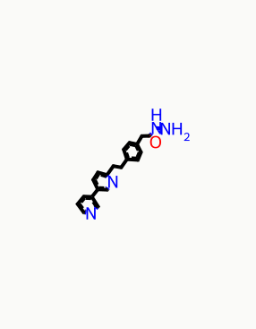 NNC(=O)Cc1ccc(CCc2ccc(-c3cccnc3)cn2)cc1